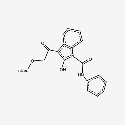 CCCCCCCCCCOCC(=O)c1c(O)n(C(=O)Nc2ccccc2)c2ccccc12